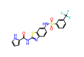 O=C(Nc1nc2ccc(NS(=O)(=O)c3cccc(C(F)(F)F)c3)cc2s1)c1ccc[nH]1